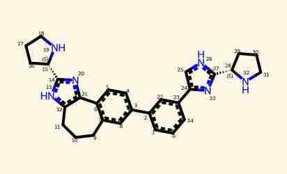 c1cc(-c2ccc3c(c2)CCCc2[nH]c([C@@H]4CCCN4)nc2-3)cc(-c2c[nH]c([C@@H]3CCCN3)n2)c1